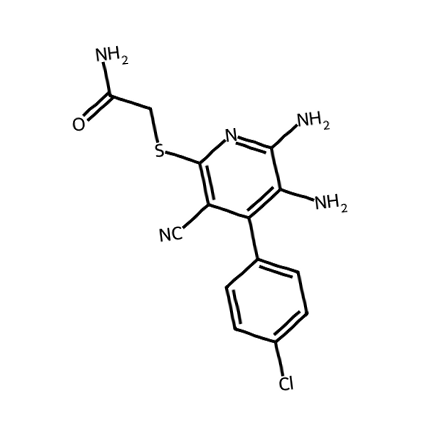 N#Cc1c(SCC(N)=O)nc(N)c(N)c1-c1ccc(Cl)cc1